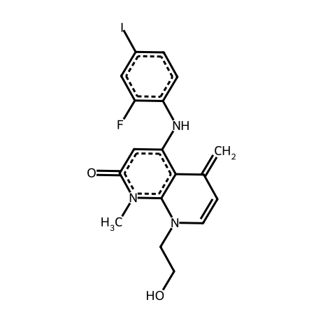 C=C1C=CN(CCO)c2c1c(Nc1ccc(I)cc1F)cc(=O)n2C